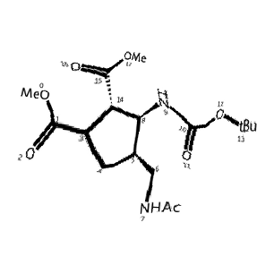 COC(=O)C1C[C@H](CNC(C)=O)[C@H](NC(=O)OC(C)(C)C)[C@H]1C(=O)OC